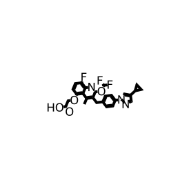 Cc1c(Cc2ccc(-n3cc(C4CC4)cn3)cc2)c(OC(F)F)nc2c(F)ccc(OCC(=O)O)c12